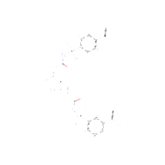 C=C(C)c1ccc(C(C)(C)NC(=O)OC(C)C(Br)(Br)COC(=O)NC(C)(C)c2cccc(C(=C)C)c2)cc1